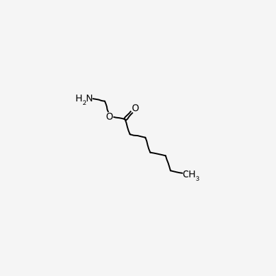 CCCCCCC(=O)OCN